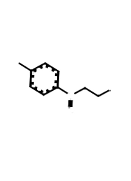 B=S(CCF)c1ccc(C)cc1